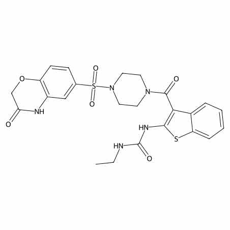 CCNC(=O)Nc1sc2ccccc2c1C(=O)N1CCN(S(=O)(=O)c2ccc3c(c2)NC(=O)CO3)CC1